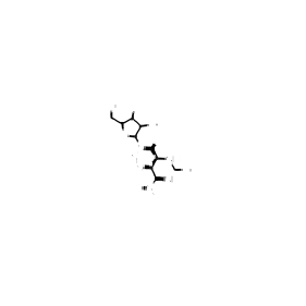 N=C(c1nnn(C2OC(CO)C(O)C2O)c(=O)c1NCO)[N+](=O)[O-]